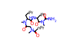 CCCC(=O)N(C)CC(=O)N(C)C(CC(C)C)C(=O)NC(C(=O)N(C)C(N)=O)C(C)C